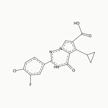 O=C(O)c1cn2nc(-c3ccc(Cl)c(F)c3)[nH]c(=O)c2c1C1CC1